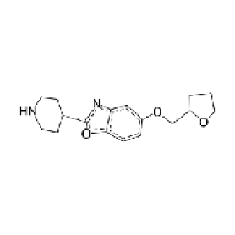 c1cc2oc(C3CCNCC3)nc2cc1OCC1CCCO1